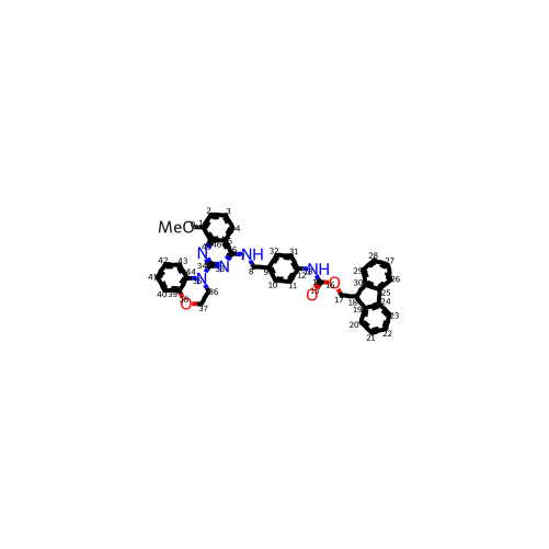 COc1cccc2c(NCc3ccc(NC(=O)OCC4c5ccccc5-c5ccccc54)cc3)nc(N3CCOc4ccccc43)nc12